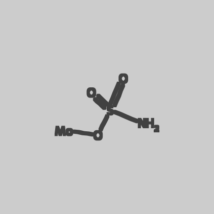 NS(=O)(=O)[O][Mo]